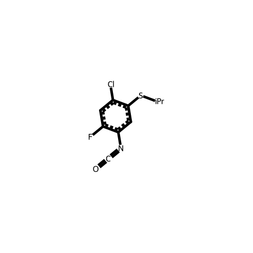 CC(C)Sc1cc(N=C=O)c(F)cc1Cl